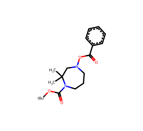 CC(C)(C)OC(=O)N1CCCN(OC(=O)c2ccccc2)CC1(C)C